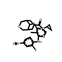 [C-]#[N+]c1ccc(Nc2ncnc(OC3C4COCC3CC(C(=O)OC3CC3)C4)c2C)c(F)c1